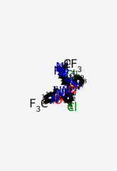 Cc1cc(Cl)cc(C(=O)NC(C)c2ccc(C(F)(F)F)cn2)c1NC(=O)c1cc(Cn2nnc(C(F)(F)F)n2)nn1-c1ncccc1Cl